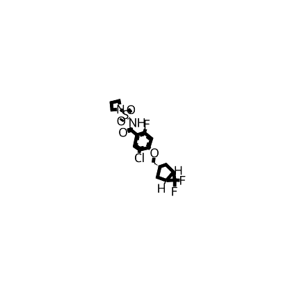 O=C(NS(=O)(=O)N1CCC1)c1cc(Cl)c(OC[C@@H]2C[C@@H]3[C@H](C2)C3(F)F)cc1F